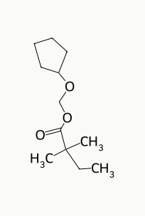 CCC(C)(C)C(=O)OCOC1CCCC1